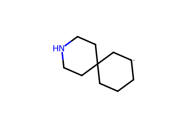 [CH]1CCCC2(C1)CCNCC2